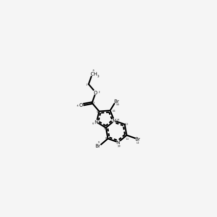 CCOC(=O)c1nc2c(Br)nc(Br)cn2c1Br